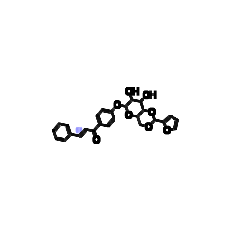 O=C(/C=C/c1ccccc1)c1ccc(OC2OC3COC(c4ccco4)OC3C(O)C2O)cc1